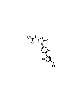 CC(C(N)=O)[C@H]1CN(c2ccc(-c3nc(CO)c[nH]3)c(F)c2)C(=O)O1